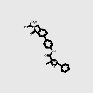 Cc1oc(-c2ccccc2)nc1C(=O)Nc1ccc(-c2ccc3c(c2)C(=O)N([C@H](C(=O)O)C(C)C)C3)cc1